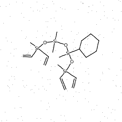 C=C[Si](C)(C=C)O[Si](C)(C)O[Si](C)(O[Si](C)(C=C)C=C)C1CCCCC1